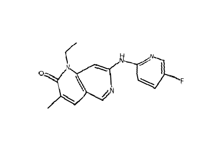 CCn1c(=O)c(C)cc2cnc(Nc3ccc(F)cn3)cc21